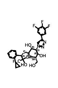 CC(C)(O)[C@H](S[C@@H]1O[C@H](CO)[C@H](O)[C@H](n2cc(-c3cc(F)c(F)c(F)c3)nn2)[C@H]1O)c1ccccc1C1CC1